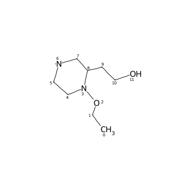 CCON1CC[N]CC1CCO